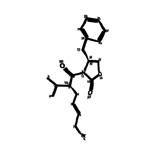 CC(C)[C@H](CC=CCBr)C(=O)N1C(=O)OC[C@@H]1Cc1ccccc1